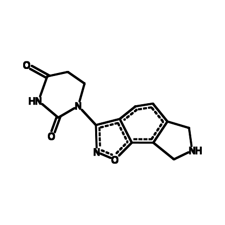 O=C1CCN(c2noc3c4c(ccc23)CNC4)C(=O)N1